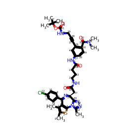 Cc1sc2c(c1C)C(c1ccc(Cl)cc1)=N[C@@H](CC(=O)NCCCC(=O)Nc1ccc(C(=O)N(C)C)c(C#CCNC(=O)OC(C)(C)C)c1)c1nnc(C)n1-2